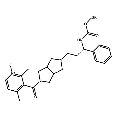 Cc1cc[n+]([O-])c(C)c1C(=O)N1CC2CN(CC[C@H](NC(=O)OC(C)(C)C)c3ccccc3)CC2C1